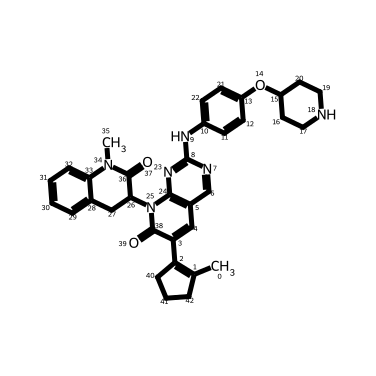 CC1=C(c2cc3cnc(Nc4ccc(OC5CCNCC5)cc4)nc3n(C3Cc4ccccc4N(C)C3=O)c2=O)CCC1